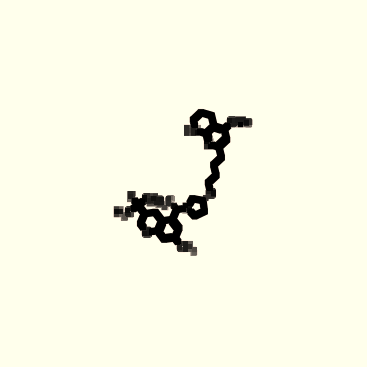 COc1cc(CCCCO[C@@H]2CCN([C@H](C(=O)O)c3cc(C)cc4c3CC(C(C)(C)F)CO4)C2)nc2c1CCCN2